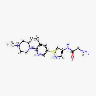 COc1cc(S2=CC(NC(=O)CN)=CN2)cnc1N1CCN(C)CC1